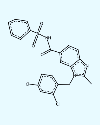 Cc1nc2ccc(C(=O)NS(=O)(=O)c3ccccc3)cc2n1Cc1ccc(Cl)cc1Cl